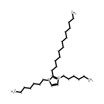 CCCCCCCCCCCCCc1n(CCCCCCC)cc[n+]1CCCCCC